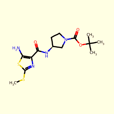 CSc1nc(C(=O)N[C@H]2CCN(C(=O)OC(C)(C)C)C2)c(N)s1